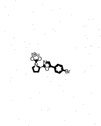 CC(C)(C)OC(=O)N1CCC[C@@H]1c1ncc(-c2ccc(Br)cc2)o1